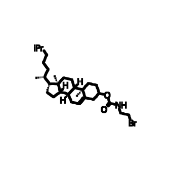 CC(C)CCC[C@@H](C)[C@H]1CC[C@H]2[C@@H]3CC=C4CC(OC(=O)NCCBr)CC[C@]4(C)[C@H]3CC[C@]12C